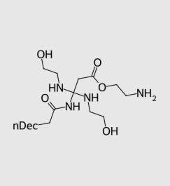 CCCCCCCCCCCC(=O)NC(CC(=O)OCCN)(NCCO)NCCO